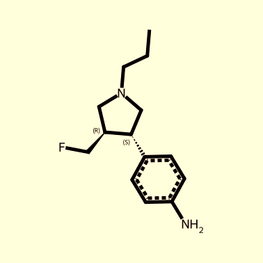 CCCN1C[C@H](CF)[C@@H](c2ccc(N)cc2)C1